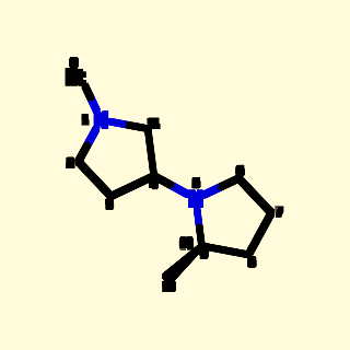 CCN1CCC(N2CCC[C@H]2C)C1